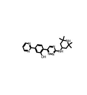 CC1(C)CC(Nc2ncc(-c3ccc(-c4ncccn4)cc3O)nn2)CC(C)(C)N1